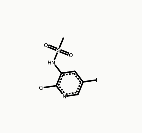 CS(=O)(=O)Nc1cc(I)cnc1Cl